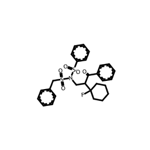 O=C(c1ccccc1)C(CN(S(=O)(=O)Cc1ccccc1)S(=O)(=O)c1ccccc1)C1(F)CCCCC1